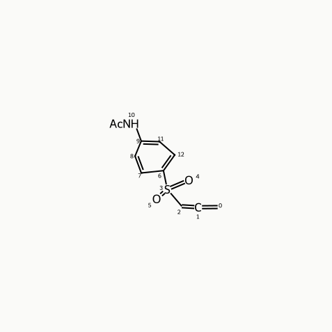 C=C=CS(=O)(=O)c1ccc(NC(C)=O)cc1